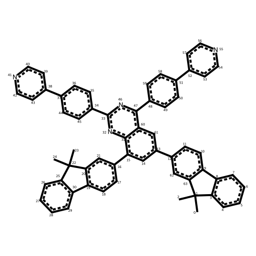 CC1(C)c2ccccc2-c2ccc(-c3cc(-c4ccc5c(c4)C(C)(C)c4ccccc4-5)c4nc(-c5ccc(-c6ccncc6)cc5)nc(-c5ccc(-c6ccncc6)cc5)c4c3)cc21